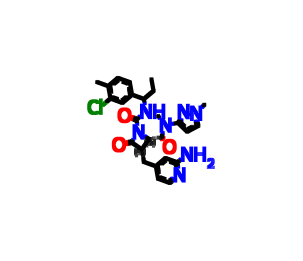 CCC(NC(=O)N1C(=O)[C@H](Cc2ccnc(N)c2)[C@H]1C(=O)N(C)c1ccn(C)n1)c1ccc(C)c(Cl)c1